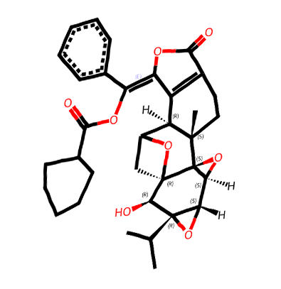 CC(C)[C@]12O[C@H]1[C@@H]1O[C@@]13[C@@]1(C)CCC4=C(/C(=C(\OC(=O)C5CCCCC5)c5ccccc5)OC4=O)[C@@H]1C1C[C@@]3(O1)[C@@H]2O